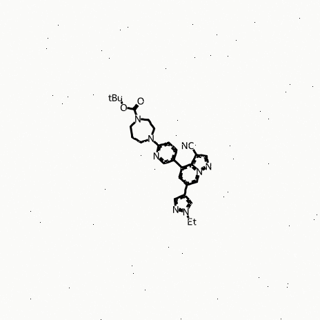 CCn1cc(-c2cc(-c3ccc(N4CCCN(C(=O)OC(C)(C)C)CC4)nc3)c3c(C#N)cnn3c2)cn1